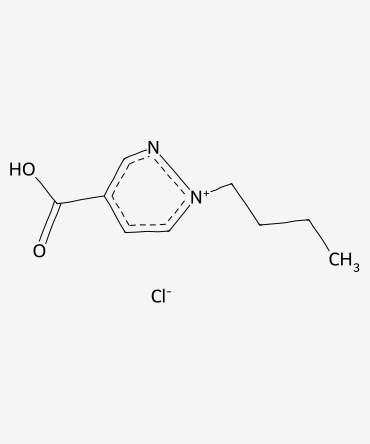 CCCC[n+]1ccc(C(=O)O)cn1.[Cl-]